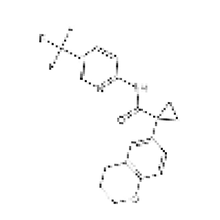 O=C(Nc1ccc(C(F)(F)F)cn1)C1(c2ccc3c(c2)CCCO3)CC1